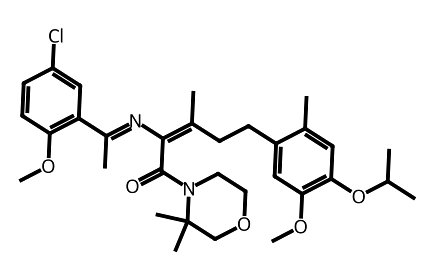 COc1cc(CC/C(C)=C(/N=C(\C)c2cc(Cl)ccc2OC)C(=O)N2CCOCC2(C)C)c(C)cc1OC(C)C